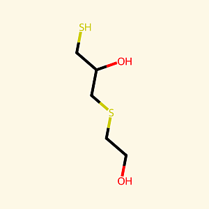 OCCSCC(O)CS